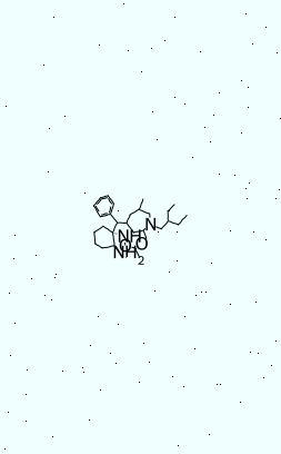 CCC(CC)CN1CC(C)CC(C(c2ccccc2)[C@]2(NOC(C)=O)CCCCC2N)CC1C